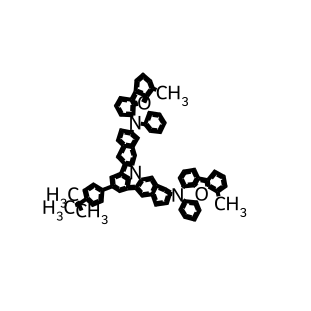 Cc1cccc2c1oc1c(N(c3ccccc3)c3ccc4cc5c6cc(-c7ccc(C(C)(C)C)cc7)cc7c8cc9ccc(N(c%10ccccc%10)c%10cccc%11c%10oc%10c(C)cccc%10%11)cc9cc8n(c5cc4c3)c67)cccc12